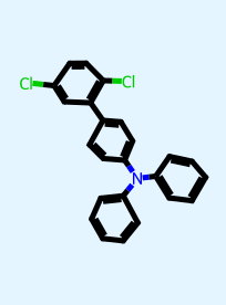 Clc1ccc(Cl)c(-c2ccc(N(c3ccccc3)c3ccccc3)cc2)c1